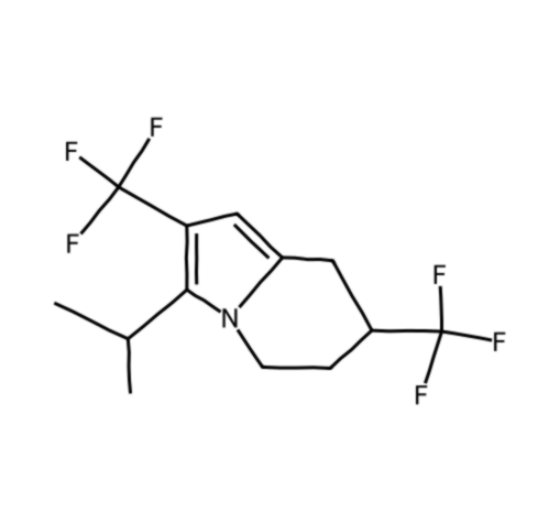 CC(C)c1c(C(F)(F)F)cc2n1CCC(C(F)(F)F)C2